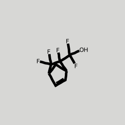 OC(F)(F)C1(F)C2C=CC(C2)C1(F)F